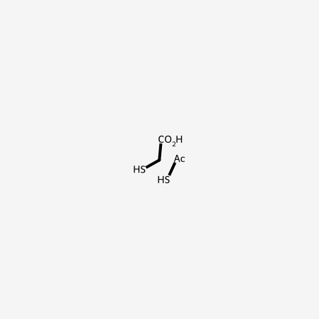 CC(=O)S.O=C(O)CS